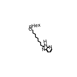 CCCCCCOCCCCCCCCc1nc2cccnc2[nH]1